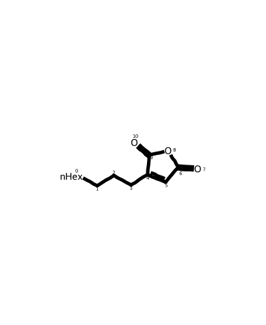 CCCCCCCCCC1=CC(=O)OC1=O